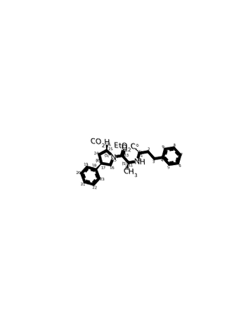 CCOC(=O)[C@H](CCc1ccccc1)N[C@@H](C)C(=O)N1C[C@@H](c2ccccc2)C[C@H]1C(=O)O